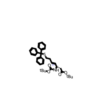 CC(C)(C)OC(=O)C[C@@H](/C=C/CCSC(c1ccccc1)(c1ccccc1)c1ccccc1)NC(=O)OC(C)(C)C